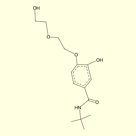 CC(C)(C)NC(=O)c1ccc(OCCOCCO)c(O)c1